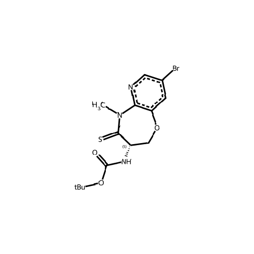 CN1C(=S)[C@@H](NC(=O)OC(C)(C)C)COc2cc(Br)cnc21